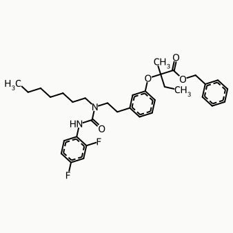 CCCCCCCN(CCc1cccc(OC(C)(CC)C(=O)OCc2ccccc2)c1)C(=O)Nc1ccc(F)cc1F